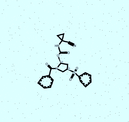 N#CC1(NC(=O)O[C@H]2C[C@@H](S(=O)(=O)c3ccccc3)CN2C(=O)c2ccccc2)CC1